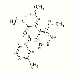 COC=C(C(=O)OC)c1c(OC)ncnc1Oc1cccc(C)c1